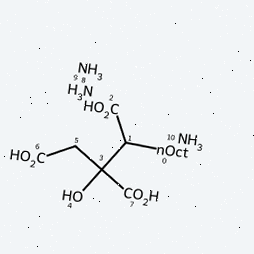 CCCCCCCCC(C(=O)O)C(O)(CC(=O)O)C(=O)O.N.N.N